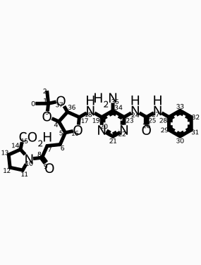 CC1(C)OC2C(CCC(=O)N3CCCC3C(=O)O)OC(Nc3ncnc(NC(=O)Nc4ccccc4)c3N)C2O1